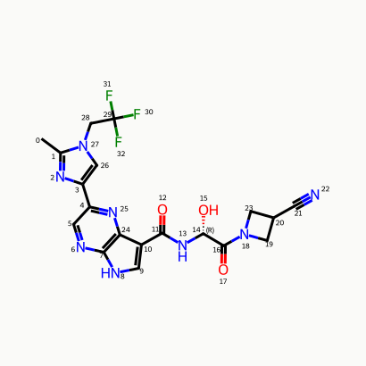 Cc1nc(-c2cnc3[nH]cc(C(=O)N[C@H](O)C(=O)N4CC(C#N)C4)c3n2)cn1CC(F)(F)F